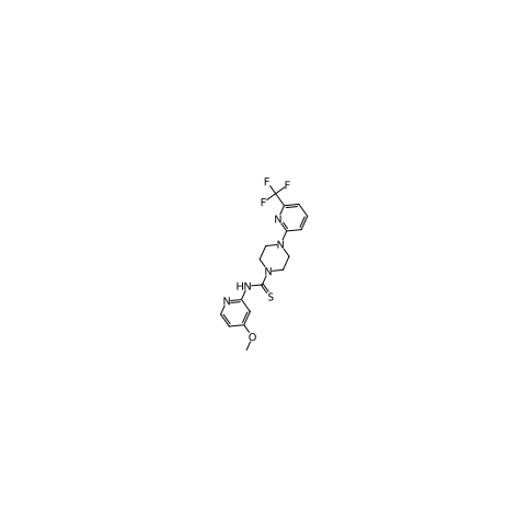 COc1ccnc(NC(=S)N2CCN(c3cccc(C(F)(F)F)n3)CC2)c1